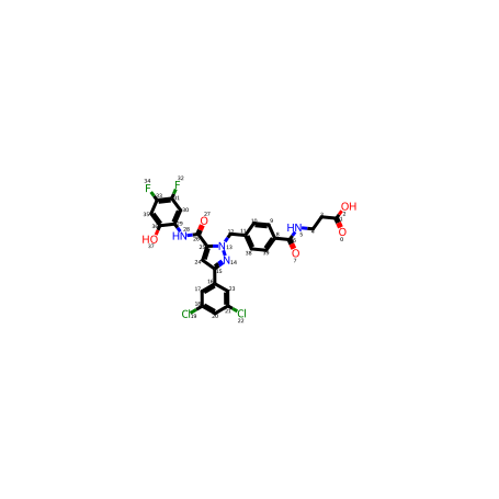 O=C(O)CCNC(=O)c1ccc(Cn2nc(-c3cc(Cl)cc(Cl)c3)cc2C(=O)Nc2cc(F)c(F)cc2O)cc1